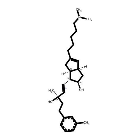 Cc1cccc(CC[C@@](C)(O)/C=C/[C@@H]2[C@H]3CC(CCCCCN(C)C)=C[C@H]3C[C@H]2O)c1